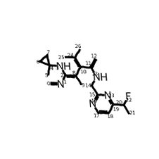 C=N/C(NC1(C)CC1)=C(\C)C(C(=C)NCc1nccc(C(C)F)n1)=C(C)C